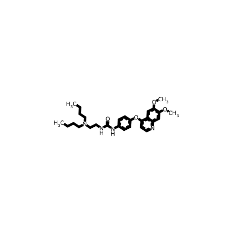 CCCCN(CCCC)CCNC(=O)Nc1ccc(Oc2ccnc3cc(OC)c(OC)cc23)cc1